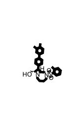 Cc1ccc(-c2ccc(C3[C@@H](CO)N4CCCCN(S(=O)(=O)c5ccccc5C)C[C@@H]34)cc2)cc1C